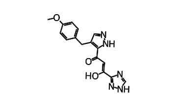 COc1ccc(Cc2cn[nH]c2C(=O)C=C(O)c2nc[nH]n2)cc1